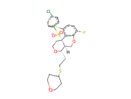 O=S(=O)(c1ccc(Cl)cc1)[C@@]12CCO[C@@H](CCSC3CCOCC3)[C@@H]1COc1c(F)ccc(F)c12